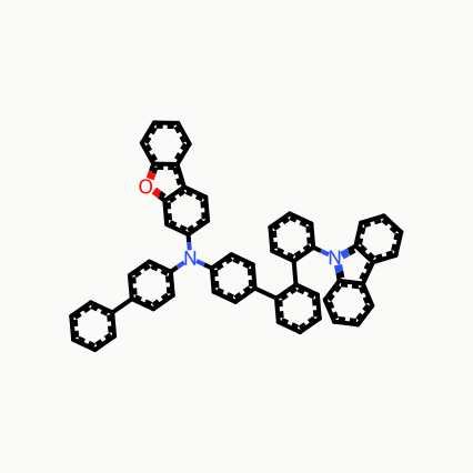 c1ccc(-c2ccc(N(c3ccc(-c4ccccc4-c4ccccc4-n4c5ccccc5c5ccccc54)cc3)c3ccc4c(c3)oc3ccccc34)cc2)cc1